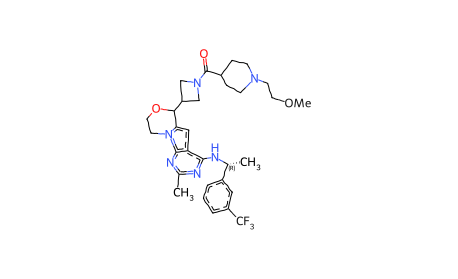 COCCN1CCC(C(=O)N2CC(C3OCCn4c3cc3c(N[C@H](C)c5cccc(C(F)(F)F)c5)nc(C)nc34)C2)CC1